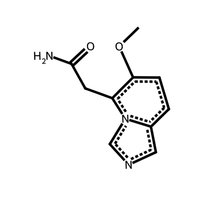 COc1ccc2cncn2c1CC(N)=O